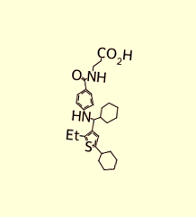 CCc1sc(C2CCCCC2)cc1C(Nc1ccc(C(=O)NCCC(=O)O)cc1)C1CCCCC1